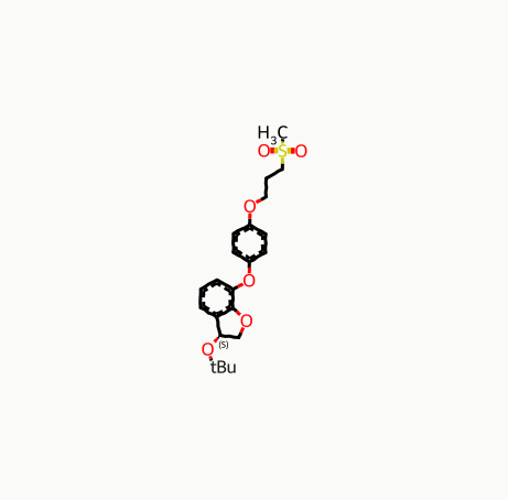 CC(C)(C)O[C@@H]1COc2c(Oc3ccc(OCCCS(C)(=O)=O)cc3)cccc21